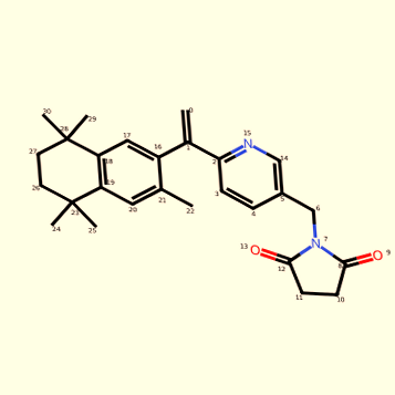 C=C(c1ccc(CN2C(=O)CCC2=O)cn1)c1cc2c(cc1C)C(C)(C)CCC2(C)C